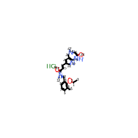 CCOc1c(C)cccc1CN(C)C(=O)/C=C/c1cnc2c(c1)CN(C)CC(=O)N2.Cl